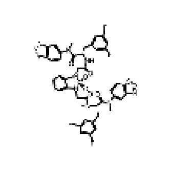 CN(C(=O)[C@H](Cc1cc(F)cc(F)c1)NC(=O)CN1c2ccccc2N(CC(=O)N[C@@H](Cc2cc(F)cc(F)c2)C(=O)N(C)c2ccc3snnc3c2)S1(=O)=O)c1ccc2snnc2c1